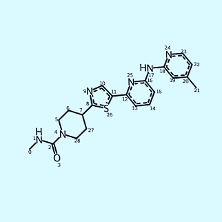 CNC(=O)N1CCC(c2ncc(-c3cccc(Nc4cc(C)ccn4)n3)s2)CC1